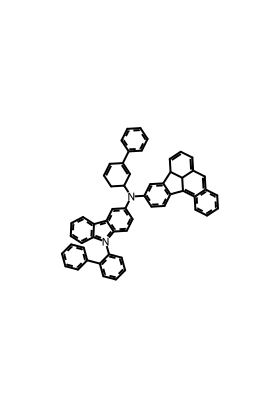 C1=CC2c3cc(N(c4ccc5c(c4)c4ccccc4n5-c4ccccc4-c4ccccc4)C4C=C(c5ccccc5)C=CC4)ccc3C3=c4ccccc4=CC(=C1)C32